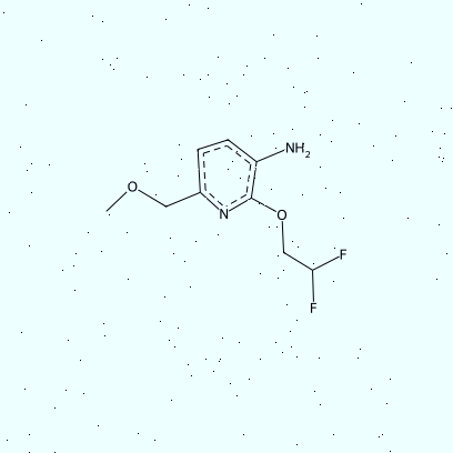 COCc1ccc(N)c(OCC(F)F)n1